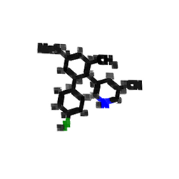 CSc1cc(C)c(-c2cncc(C#N)c2)c(-c2ccc(F)cc2)c1